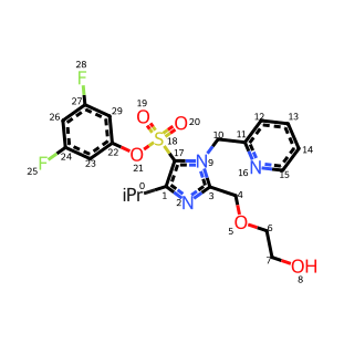 CC(C)c1nc(COCCO)n(Cc2ccccn2)c1S(=O)(=O)Oc1cc(F)cc(F)c1